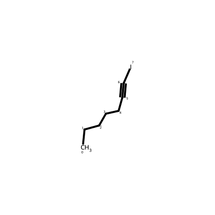 CC[CH]CCC#CI